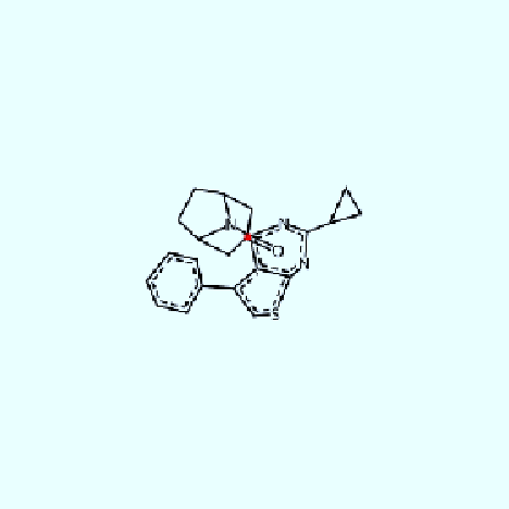 O=C1CC2CCC(C1)N2c1nc(C2CC2)nc2scc(-c3ccccc3)c12